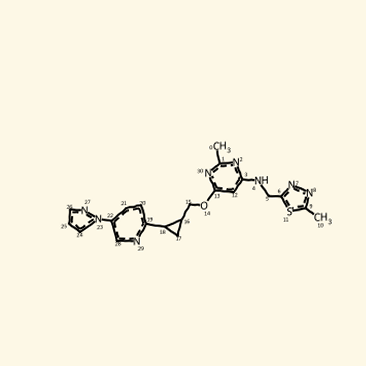 Cc1nc(NCc2nnc(C)s2)cc(OCC2CC2c2ccc(-n3cccn3)cn2)n1